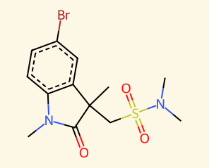 CN1C(=O)C(C)(CS(=O)(=O)N(C)C)c2cc(Br)ccc21